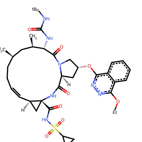 CCOc1nnc(O[C@@H]2C[C@H]3C(=O)N[C@]4(C(=O)NS(=O)(=O)C5CC5)C[C@H]4C=CCC[C@@H](C)C[C@@H](C)[C@H](NC(=O)NC(C)(C)C)C(=O)N3C2)c2ccccc12